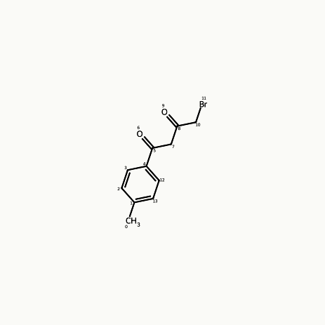 Cc1ccc(C(=O)CC(=O)CBr)cc1